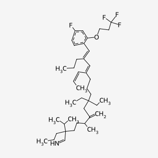 C=C(CC(CC)(CC)CCCC(/C=C\C)=C/C(=C/c1ccc(F)cc1OCCC(F)(F)F)CCC)C(C)CCC(C=N)(CCC)C(C)C